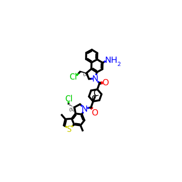 Cc1cc2c(c3c(C)csc13)[C@H](CCl)CN2C(=O)C12CCC(C(=O)N3C[C@@H](CCl)c4c3cc(N)c3ccccc43)(CC1)CC2